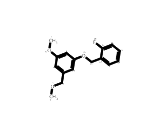 COCc1cc(OC)cc(OCc2ccccc2F)c1